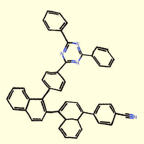 N#Cc1ccc(C2=CC=C(c3ccc4ccccc4c3-c3ccc(-c4nc(-c5ccccc5)nc(-c5ccccc5)n4)cc3)C3C=CC=CC23)cc1